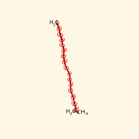 CCCCC(CC)COC(=O)CCCCCOC(=O)CCCCCOC(=O)CCCCCOC(=O)CCCCCOC(=O)CCCCCOC(=O)CCCCCOC(=O)CCCCCOC(=O)CCCCCOC(=O)CCCCCOC(=O)CCCCCOC(=O)CCCCCOC(=O)CCCCCOC(=O)CCCCCOC(=O)CCCCCOC(=O)CCCCCOC